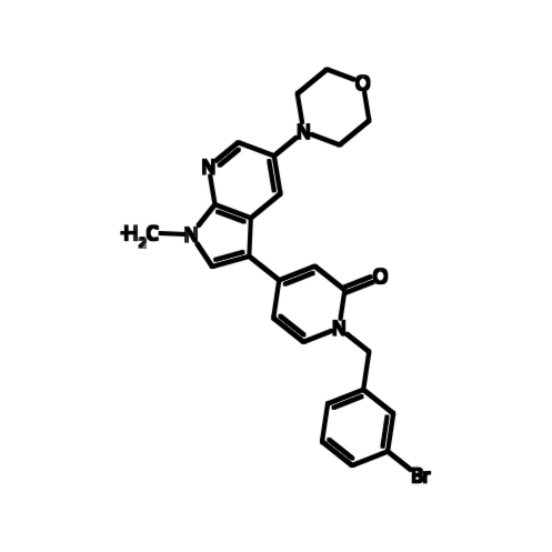 [CH2]n1cc(-c2ccn(Cc3cccc(Br)c3)c(=O)c2)c2cc(N3CCOCC3)cnc21